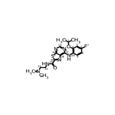 CC(C)Oc1cc(F)ccc1Nc1ncnc2sc(C(=O)NCCN(C)C)nc12